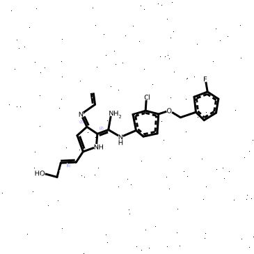 C=C/N=C1C=C(/C=C/CO)NC/1=C(/N)Nc1ccc(OCc2cccc(F)c2)c(Cl)c1